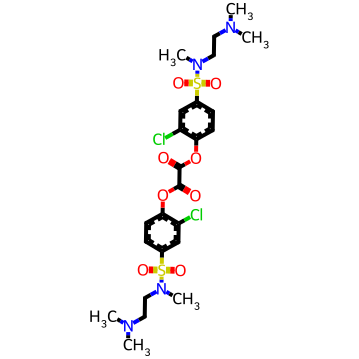 CN(C)CCN(C)S(=O)(=O)c1ccc(OC(=O)C(=O)Oc2ccc(S(=O)(=O)N(C)CCN(C)C)cc2Cl)c(Cl)c1